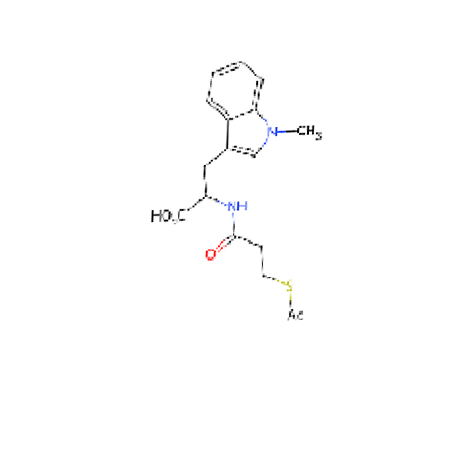 CC(=O)SCCC(=O)NC(Cc1cn(C)c2ccccc12)C(=O)O